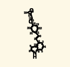 C(=Cc1cccc2[nH]ccc12)c1ccc(OCC2CO2)cc1